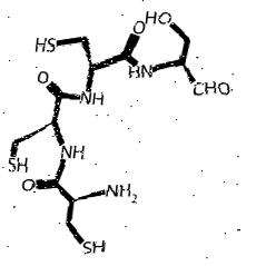 N[C@@H](CS)C(=O)N[C@@H](CS)C(=O)N[C@@H](CS)C(=O)N[C@H]([C]=O)CO